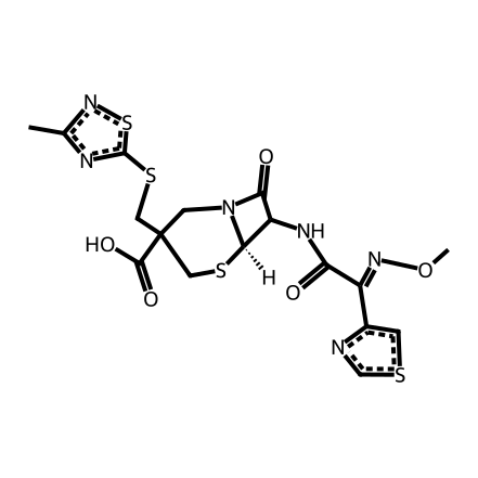 CON=C(C(=O)NC1C(=O)N2CC(CSc3nc(C)ns3)(C(=O)O)CS[C@H]12)c1cscn1